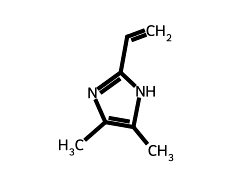 C=Cc1nc(C)c(C)[nH]1